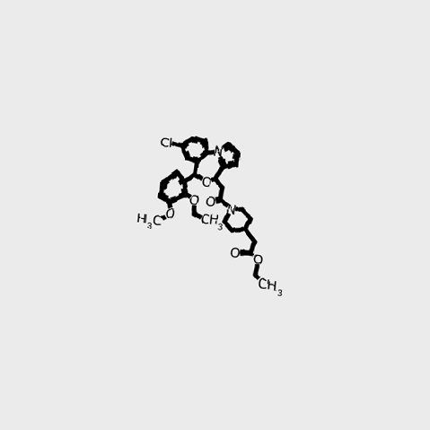 CCOC(=O)CC1CCN(C(=O)CC2OC(c3cccc(OC)c3OCC)c3cc(Cl)ccc3-n3cccc32)CC1